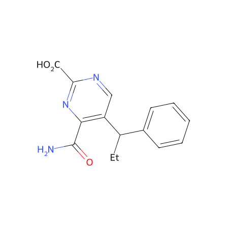 CCC(c1ccccc1)c1cnc(C(=O)O)nc1C(N)=O